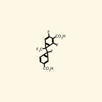 O=C(O)c1ccc2c(c1)C2(F)C1(C(F)(F)F)c2cc(F)c(C(=O)O)c(F)c21